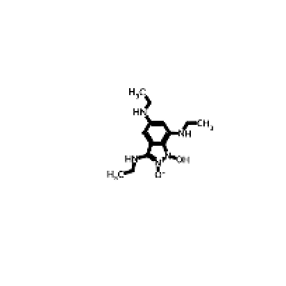 CCNc1cc(NCC)c2c(c1)c(NCC)[n+]([O-])n2O